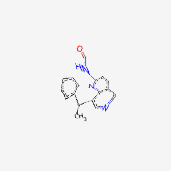 C[C@@H](c1ccccc1)c1cncc2ccc(NC=O)nc12